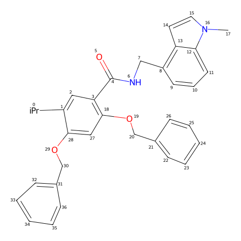 CC(C)c1cc(C(=O)NCc2cccc3c2ccn3C)c(OCc2ccccc2)cc1OCc1ccccc1